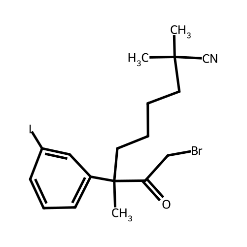 CC(C)(C#N)CCCCC(C)(C(=O)CBr)c1cccc(I)c1